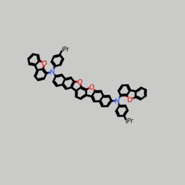 CC(C)c1ccc(N(c2ccc3cc4c(cc3c2)oc2c4ccc3c4cc5ccc(N(c6ccc(C(C)C)cc6)c6cccc7c6oc6ccccc67)cc5cc4oc32)c2cccc3c2oc2ccccc23)cc1